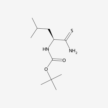 CC(C)C[C@H](NC(=O)OC(C)(C)C)C(N)=S